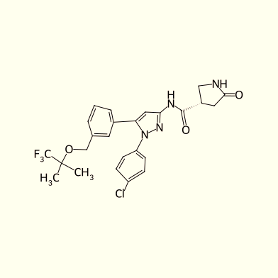 CC(C)(OCc1cccc(-c2cc(NC(=O)[C@@H]3CNC(=O)C3)nn2-c2ccc(Cl)cc2)c1)C(F)(F)F